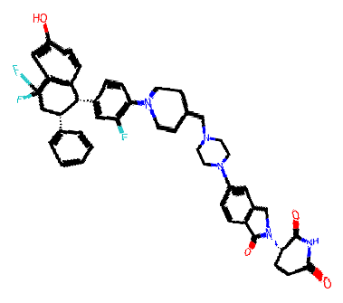 O=C1CC[C@H](N2Cc3cc(N4CCN(CC5CCN(c6ccc([C@H]7c8ccc(O)cc8C(F)(F)C[C@H]7c7ccccc7)cc6F)CC5)CC4)ccc3C2=O)C(=O)N1